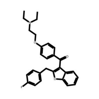 CCN(CC)CCOc1ccc(C(=O)c2c(Cc3ccc(F)cc3)oc3ccccc23)cc1